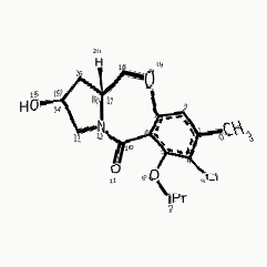 Cc1cc2c(c(OC(C)C)c1Cl)C(=O)N1C[C@@H](O)C[C@@H]1CO2